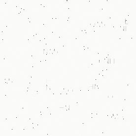 CCNC(=O)c1cc(NC(=O)CNC(=O)c2cc(NC(=O)CNC(=O)c3cc(NC)ccc3OC)ccc2OC)ccc1OC